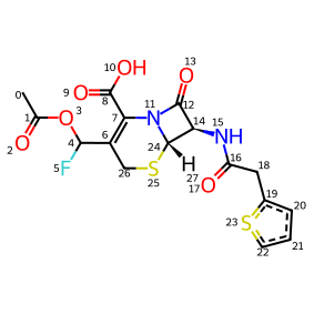 CC(=O)OC(F)C1=C(C(=O)O)N2C(=O)[C@@H](NC(=O)Cc3cccs3)[C@@H]2SC1